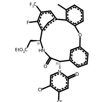 CCOC(=O)C[C@@H]1NC(=O)[C@@H](n2cc(Cl)c(C(F)(F)F)cc2=O)c2cccc(c2)Oc2cccc(C)c2-c2cc1c(F)c(C(F)(F)F)c2